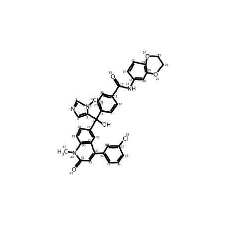 Cn1cncc1C(O)(c1ccc(C(=O)Nc2ccc3c(c2)OCCO3)cc1)c1ccc2c(c1)c(-c1cccc(Cl)c1)cc(=O)n2C